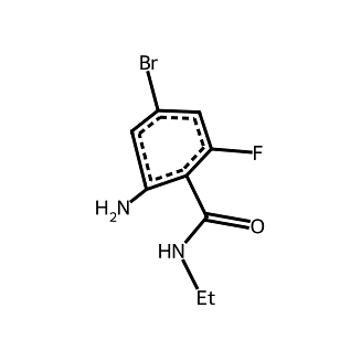 CCNC(=O)c1c(N)cc(Br)cc1F